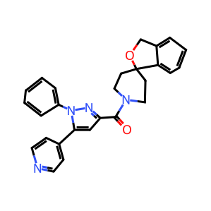 O=C(c1cc(-c2ccncc2)n(-c2ccccc2)n1)N1CCC2(CC1)OCc1ccccc12